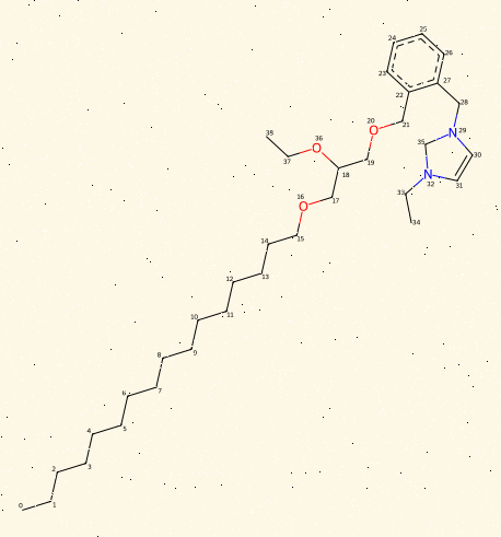 CCCCCCCCCCCCCCCCOCC(COCc1ccccc1CN1C=CN(CC)C1)OCC